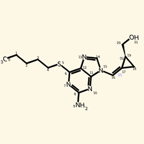 CCCCCSc1nc(N)nc2c1ncn2/C=C1/C[C@@H]1CO